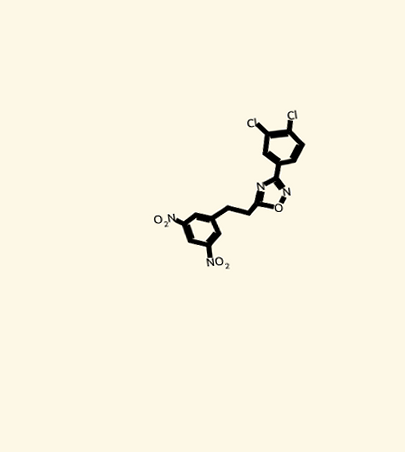 O=[N+]([O-])c1cc(CCc2nc(-c3ccc(Cl)c(Cl)c3)no2)cc([N+](=O)[O-])c1